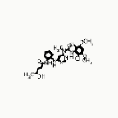 COc1cc(OC)c(Cl)c(NC(=O)N(C)c2cc(Nc3ccccc3NC(=O)C=CC(C)O)ncn2)c1Cl